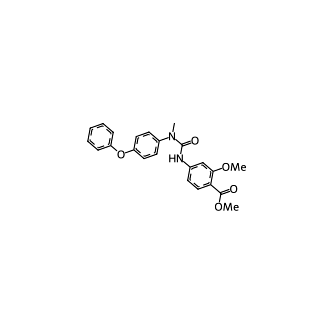 COC(=O)c1ccc(NC(=O)N(C)c2ccc(Oc3ccccc3)cc2)cc1OC